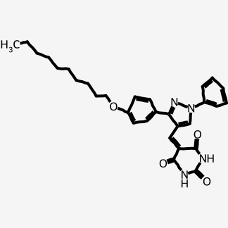 CCCCCCCCCCOc1ccc(-c2nn(-c3ccccc3)cc2C=C2C(=O)NC(=O)NC2=O)cc1